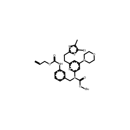 C=CCOC(=O)Nc1cccc(CN(C(=O)OC(C)(C)C)c2cc(N3CCOCC3)cc(CCc3nc(C)c(CC)s3)n2)c1